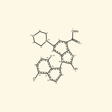 CCCc1nc2c(C(=O)OC)cc(N3CCOCC3)cc2n1-c1ccnc2c(Cl)ccc(F)c12